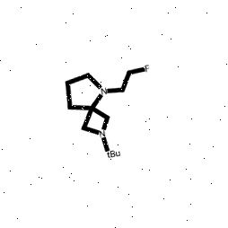 CC(C)(C)N1CC2(CCCN2CCF)C1